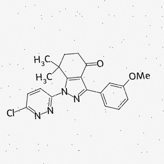 COc1cccc(-c2nn(-c3ccc(Cl)nn3)c3c2C(=O)CCC3(C)C)c1